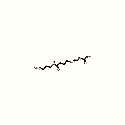 CCCC(=O)NCCNCCCC(=O)NCCCOC